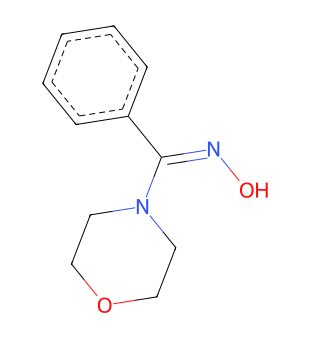 ON=C(c1ccccc1)N1CCOCC1